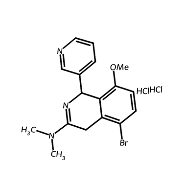 COc1ccc(Br)c2c1C(c1cccnc1)N=C(N(C)C)C2.Cl.Cl